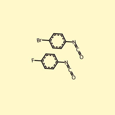 O=C=Nc1ccc(Br)cc1.O=C=Nc1ccc(F)cc1